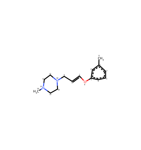 Cc1cccc(O/C=C/CN2CCN(C)CC2)c1